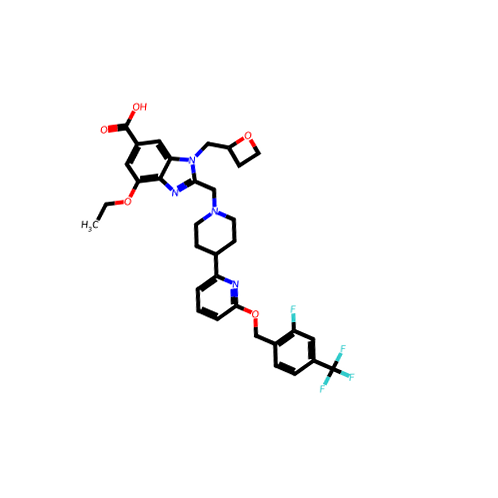 CCOc1cc(C(=O)O)cc2c1nc(CN1CCC(c3cccc(OCc4ccc(C(F)(F)F)cc4F)n3)CC1)n2CC1CCO1